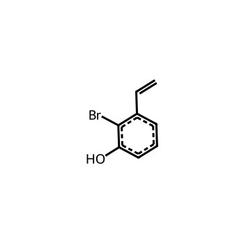 C=Cc1cccc(O)c1Br